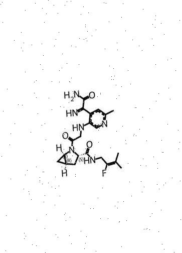 CC(C)=C(F)CNC(=O)[C@@H]1C[C@H]2C[C@H]2N1C(=O)CNc1cnc(C)cc1C(=N)C(N)=O